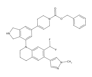 Cn1cc(-c2cc3c(cc2C(F)F)N(c2cc(C4=CCN(C(=O)OCc5ccccc5)CC4)cc4c2CNC4)CCC3)cn1